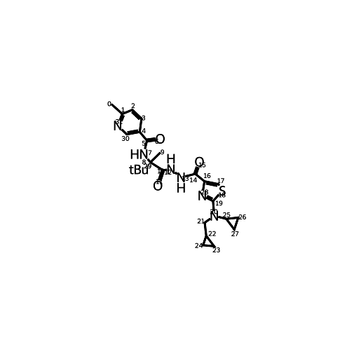 Cc1ccc(C(=O)N[C@@](C)(C(=O)NNC(=O)c2csc(N(CC3CC3)C3CC3)n2)C(C)(C)C)cn1